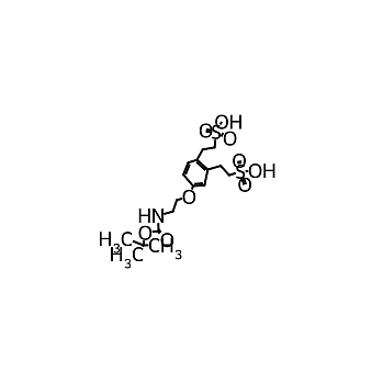 CC(C)(C)OC(=O)NCCOc1ccc(CCS(=O)(=O)O)c(CCS(=O)(=O)O)c1